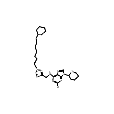 Clc1nc(NCc2nnn(CCCCCCCC3CCCCC3)n2)c2ncn(C3CCCCO3)c2n1